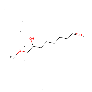 COCC(O)CCCCCC=O